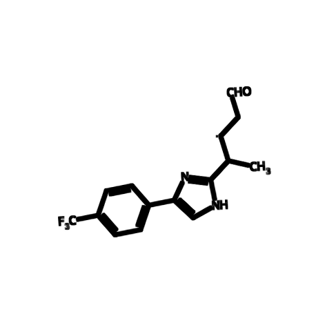 CC([CH]CC=O)c1nc(-c2ccc(C(F)(F)F)cc2)c[nH]1